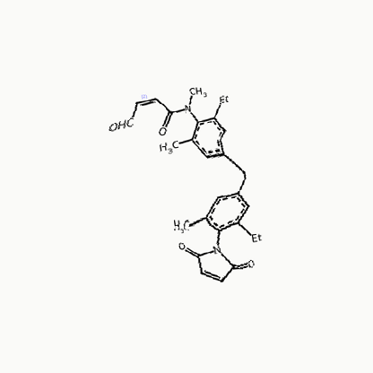 CCc1cc(Cc2cc(C)c(N3C(=O)C=CC3=O)c(CC)c2)cc(C)c1N(C)C(=O)/C=C\C=O